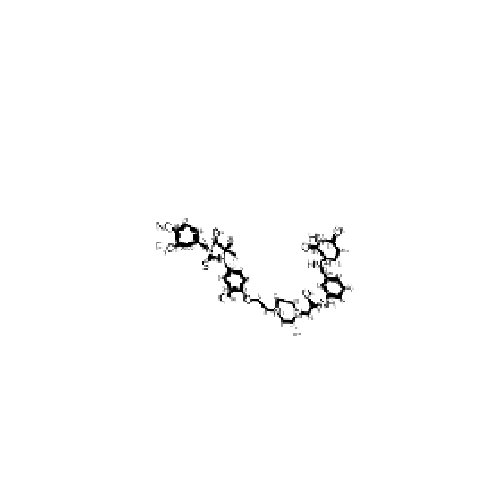 C[C@@H]1CN(CCOc2ccc(N3C(=S)N(c4ccc(C#N)c(C(F)(F)F)c4)C(=O)C3(C)C)cc2Cl)CCN1CC(=O)Nc1cccc(NC2CCC(=O)NC2=O)c1